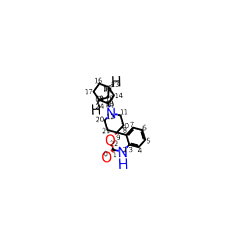 O=C1Nc2ccccc2C2(CCN([C@@H]3C[C@@H]4CC[C@@H]3C4)CC2)O1